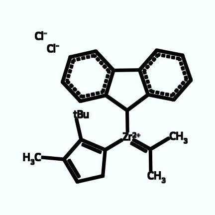 CC1=CC[C]([Zr+2](=[C](C)C)[CH]2c3ccccc3-c3ccccc32)=C1C(C)(C)C.[Cl-].[Cl-]